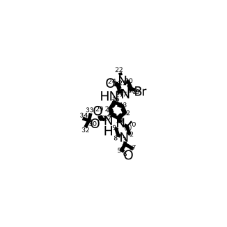 C[C@H]1CN(C2COC2)CCN1c1ccc(Nc2nc(Br)cn(C)c2=O)cc1NC(=O)OC(C)(C)C